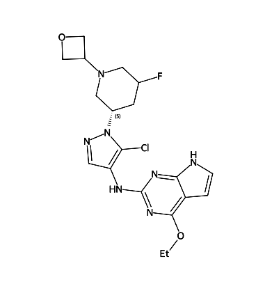 CCOc1nc(Nc2cnn([C@H]3CC(F)CN(C4COC4)C3)c2Cl)nc2[nH]ccc12